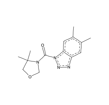 Cc1cc2nnn(C(=O)N3COCC3(C)C)c2cc1C